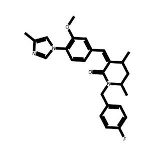 COc1cc(C=C2C(=O)N(Cc3ccc(F)cc3)C(C)CC2C)ccc1-n1cnc(C)c1